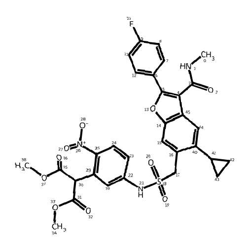 CNC(=O)c1c(-c2ccc(F)cc2)oc2cc(CS(=O)(=O)Nc3ccc([N+](=O)[O-])c(C(C(=O)OC)C(=O)OC)c3)c(C3CC3)cc12